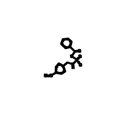 COc1ccc(CNS(=O)(=O)OC(=O)c2ccccc2)cc1